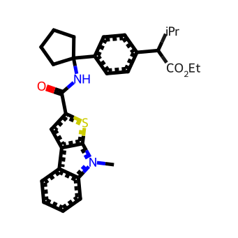 CCOC(=O)C(c1ccc(C2(NC(=O)c3cc4c5ccccc5n(C)c4s3)CCCC2)cc1)C(C)C